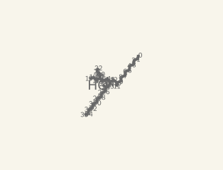 CCCCCCCCCCC(C)CN(CCN(CCC)CCC)CC(O)CCCCCCCCCC